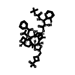 CC(=O)O[C@@]12CO[C@@H]1CC[C@@]1(C)[C@@H]3O[C@H](CN4CC(S(C)(=O)=O)C4)O[C@@H]3C3=C(C)[C@@H](OC(=O)[C@H](O)[C@@H](NC(=O)OC(C)(C)C)c4ncccc4F)C[C@@](O)([C@@H](OC(=O)c4ccccc4)[C@@H]12)C3(C)C